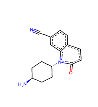 N#Cc1ccc2ccc(=O)n([C@H]3CC[C@H](N)CC3)c2c1